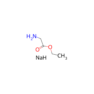 CCOC(=O)CN.[NaH]